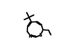 CCC1/C=C\C(C(C)(C)C)=C/C/N=C\S1